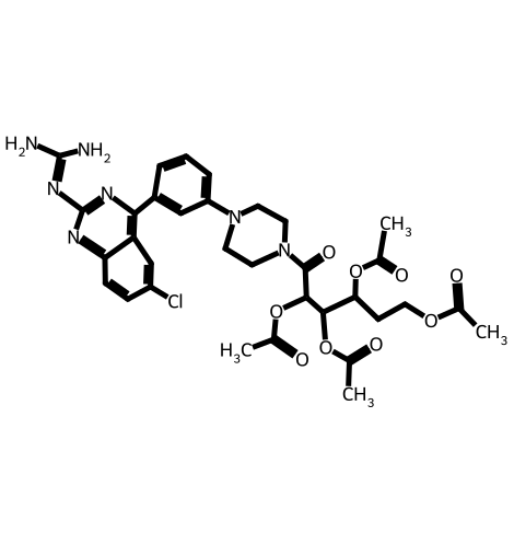 CC(=O)OCCC(OC(C)=O)C(OC(C)=O)C(OC(C)=O)C(=O)N1CCN(c2cccc(-c3nc(N=C(N)N)nc4ccc(Cl)cc34)c2)CC1